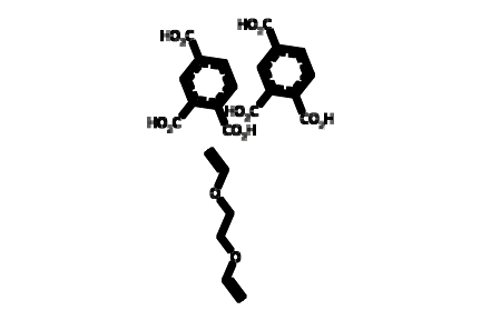 C=COCCOC=C.O=C(O)c1ccc(C(=O)O)c(C(=O)O)c1.O=C(O)c1ccc(C(=O)O)c(C(=O)O)c1